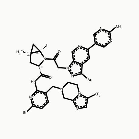 CC(=O)c1nn(CC(=O)N2[C@H](C(=O)Nc3nc(Br)ccc3CN3CCn4c(C(F)(F)F)cnc4C3)C[C@@]3(C)C[C@@H]23)c2cnc(-c3cnc(C)nc3)cc12